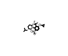 C[C](C)C[C@@H]1CCCN(c2c([N+](=O)[O-])ccc(OC3CC3)c2C(F)(F)F)C1